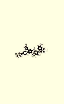 COc1cc(N2CCC(C(OC)OC)CC2)c(-c2cn[nH]c2)cc1Nc1ncc(Br)c(Nc2cc(F)c(O)cc2P(C)(C)=O)n1